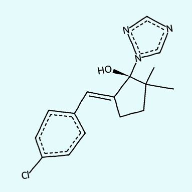 CC1(C)CC/C(=C\c2ccc(Cl)cc2)[C@]1(O)n1cncn1